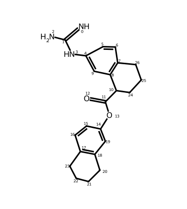 N=C(N)Nc1ccc2c(c1)C(C(=O)Oc1ccc3c(c1)CCCC3)CCC2